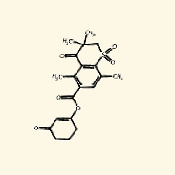 Cc1cc(C(=O)OC2=CC(=O)CCC2)c(C)c2c1S(=O)(=O)CC(C)(C)C2=O